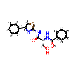 O=C(N[C@@H](CO)C(=O)Nc1nc(-c2ccccc2)cs1)c1ccccc1